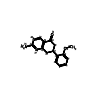 COc1ccccc1C1CC(=O)c2cnc(N)nc2C1